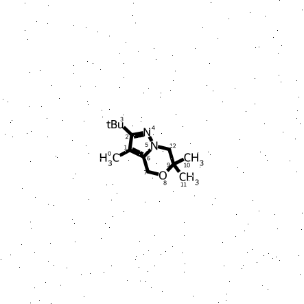 Cc1c(C(C)(C)C)nn2c1COC(C)(C)C2